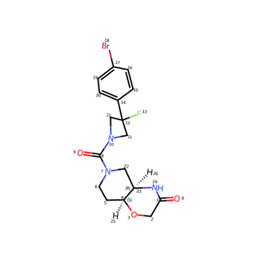 O=C1CO[C@H]2CCN(C(=O)N3CC(F)(c4ccc(Br)cc4)C3)C[C@H]2N1